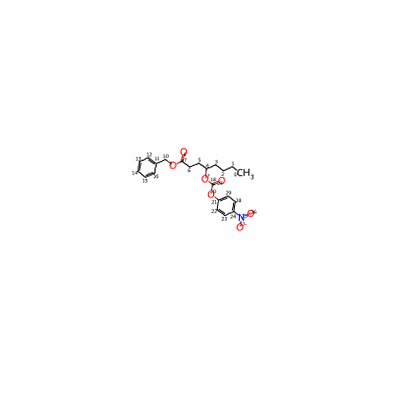 CCCCC(CCC(=O)OCc1ccccc1)OC(=O)Oc1ccc([N+](=O)[O-])cc1